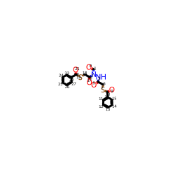 O=CN(NC(=O)CSC(=O)c1ccccc1)C(=O)CSC(=O)c1ccccc1